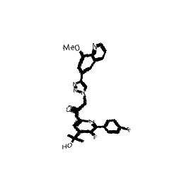 COc1cc(-c2cn(CC(=O)c3cc(C(C)(C)O)c(F)c(-c4ccc(F)cc4)n3)nn2)cc2cccnc12